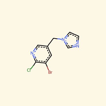 Clc1ncc(Cn2ccnc2)cc1Br